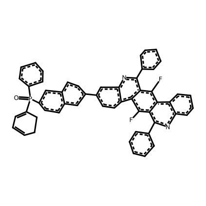 O=P(C1=CC=CCC1)(c1ccccc1)c1ccc2cc(-c3ccc4c(c3)nc(-c3ccccc3)c3c(F)c5c(c(-c6ccccc6)nc6ccccc65)c(F)c34)ccc2c1